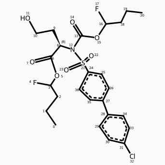 CCCC(F)OC(=O)[C@@H](CCO)N(C(=O)OC(F)CCC)S(=O)(=O)c1ccc(-c2ccc(Cl)cc2)cc1